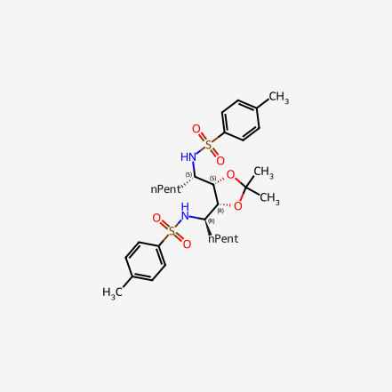 CCCCC[C@H](NS(=O)(=O)c1ccc(C)cc1)[C@@H]1OC(C)(C)O[C@@H]1[C@@H](CCCCC)NS(=O)(=O)c1ccc(C)cc1